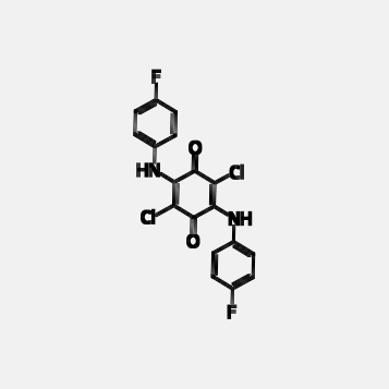 O=C1C(Cl)=C(Nc2ccc(F)cc2)C(=O)C(Cl)=C1Nc1ccc(F)cc1